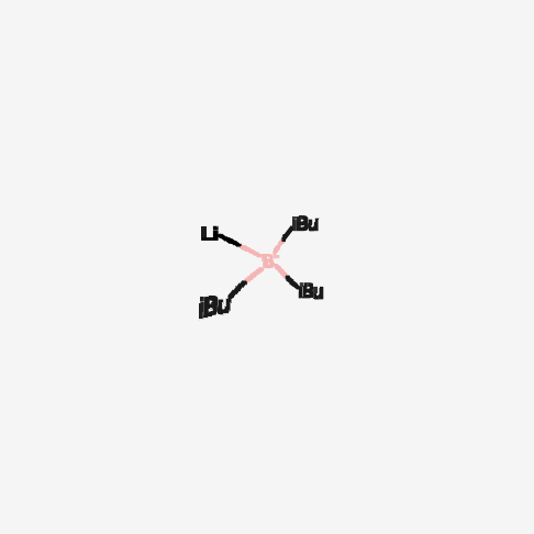 [Li][B-](C(C)CC)(C(C)CC)C(C)CC